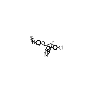 S=C=Nc1ccc(OCC2COC(Cn3cncn3)(c3ccc(Cl)cc3Cl)O2)cc1